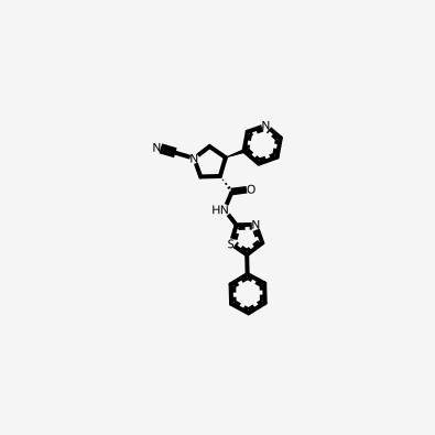 N#CN1C[C@@H](C(=O)Nc2ncc(-c3ccccc3)s2)[C@H](c2cccnc2)C1